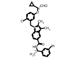 Cc1c(C)n(Cc2cc(O[C@@H](C=O)C3CC3)ccc2Cl)c2ccc(C(=O)N[C@@H](C)c3cccc(C(C)C)c3)cc12